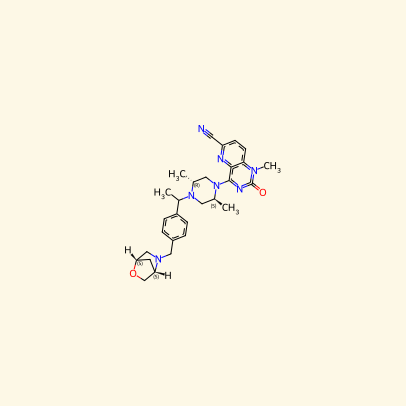 CC(c1ccc(CN2C[C@@H]3C[C@H]2CO3)cc1)N1C[C@H](C)N(c2nc(=O)n(C)c3ccc(C#N)nc23)C[C@H]1C